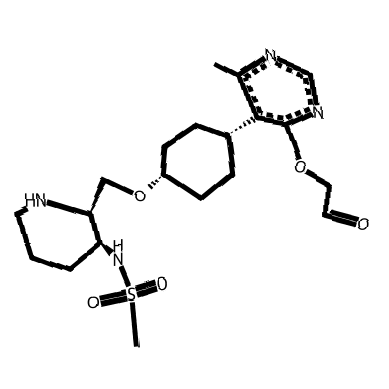 Cc1ncnc(OCC=O)c1[C@H]1CC[C@@H](OC[C@@H]2NCCC[C@@H]2NS(C)(=O)=O)CC1